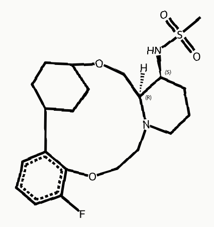 CS(=O)(=O)N[C@H]1CCCN2CCOc3c(F)cccc3C3CCC(CC3)OC[C@@H]12